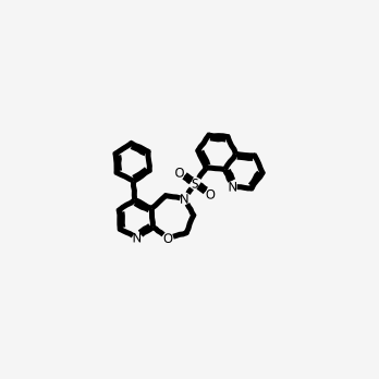 O=S(=O)(c1cccc2cccnc12)N1CCOc2nccc(-c3ccccc3)c2C1